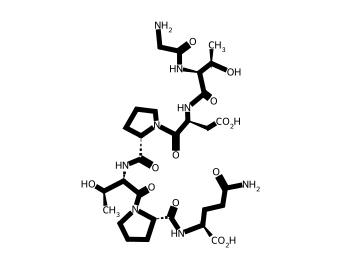 C[C@@H](O)[C@H](NC(=O)CN)C(=O)N[C@@H](CC(=O)O)C(=O)N1CCC[C@H]1C(=O)N[C@H](C(=O)N1CCC[C@H]1C(=O)N[C@@H](CCC(N)=O)C(=O)O)[C@@H](C)O